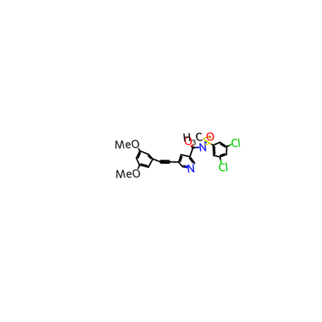 COc1cc(C#Cc2cncc(C(=O)N=S(C)(=O)c3cc(Cl)cc(Cl)c3)c2)cc(OC)c1